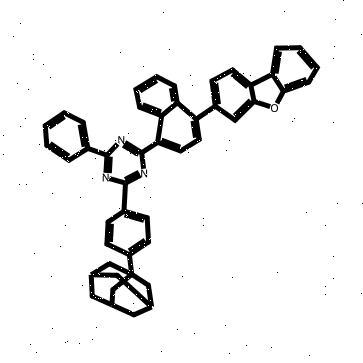 c1ccc(-c2nc(-c3ccc(C45CC6CC(CC(C6)C4)C5)cc3)nc(-c3ccc(-c4ccc5c(c4)oc4ccccc45)c4ccccc34)n2)cc1